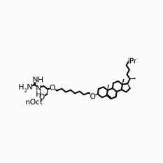 CCCCCCCCOC[C@@H](CNC(=N)N)OCCCCCCCCO[C@H]1CC[C@@]2(C)C(=CCC3C2CC[C@@]2(C)C3CC[C@@H]2[C@H](C)CCCC(C)C)C1